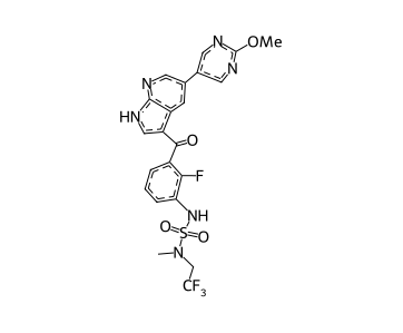 COc1ncc(-c2cnc3[nH]cc(C(=O)c4cccc(NS(=O)(=O)N(C)CC(F)(F)F)c4F)c3c2)cn1